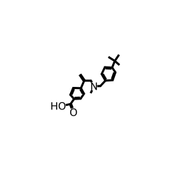 C=C(CN(C)Cc1ccc(C(C)(C)C)cc1)c1ccc(C(=O)O)cc1